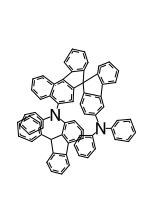 c1ccc(C2c3ccccc3-c3cccc(N(c4ccccc4)c4cc5c(c6ccccc46)-c4ccccc4C54c5ccccc5-c5cc(N(c6ccccc6)c6ccccc6)ccc54)c32)cc1